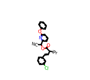 CC(C)C(C=Cc1cccc(Cl)c1)C(=O)OC(C#N)c1cccc(Oc2ccccc2)n1